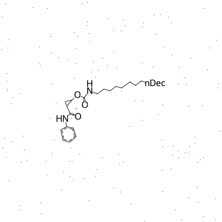 CCCCCCCCCCCCCCCCCCNC(=O)OC1CC1C(=O)Nc1ccccc1